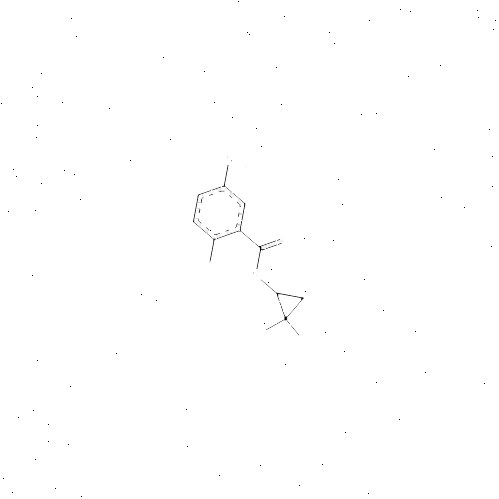 O=C(NC1CC1(F)F)c1cc([N+](=O)[O-])ccc1Cl